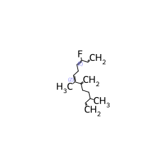 C=C/C(F)=C\C/C=C(/C)C(=C)CCC(C)C=C